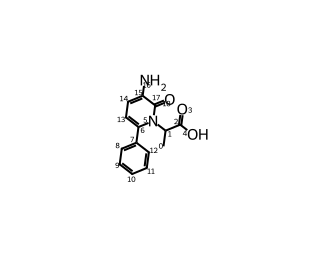 CC(C(=O)O)n1c(-c2ccccc2)ccc(N)c1=O